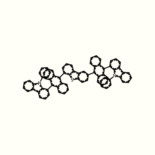 c1ccc(-n2c3ccccc3c3cccc(-c4c5ccccc5c(-c5ccc6sc7c(-c8c9ccccc9c(-c9cccc%10c%11ccccc%11n(-c%11ccccc%11)c9%10)c9ccccc89)cccc7c6c5)c5ccccc45)c32)cc1